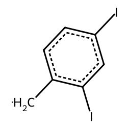 [CH2]c1ccc(I)cc1I